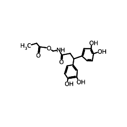 CCC(=O)OCNC(=O)CC(c1ccc(O)c(O)c1)c1ccc(O)c(O)c1